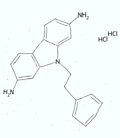 Cl.Cl.Nc1ccc2c3ccc(N)cc3n(CCc3ccccc3)c2c1